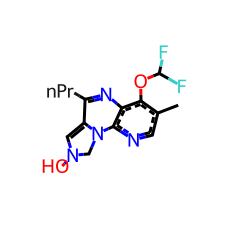 CCCC1=Nc2c(ncc(C)c2OC(F)F)N2CN(O)C=C12